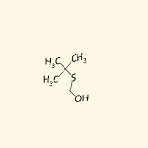 CC(C)(C)SCO